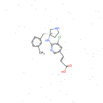 Cc1cccc(C[C@@]2(Nc3ncc(C=CC(=O)O)cc3Cl)CCNC2)c1